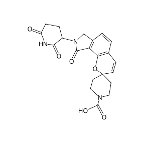 O=C1CCC(N2Cc3ccc4c(c3C2=O)OC2(C=C4)CCN(C(=O)O)CC2)C(=O)N1